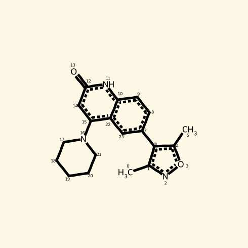 Cc1noc(C)c1-c1ccc2[nH]c(=O)cc(N3CCCCC3)c2c1